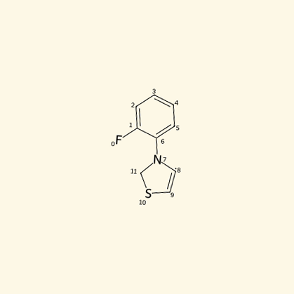 Fc1ccccc1N1[C]=CSC1